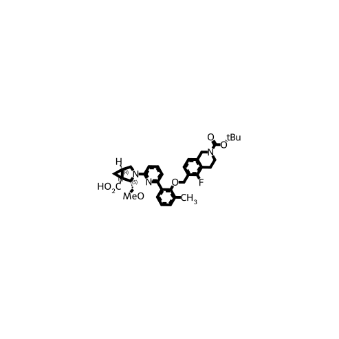 COC[C@H]1N(c2cccc(-c3cccc(C)c3OCc3ccc4c(c3F)CCN(C(=O)OC(C)(C)C)C4)n2)C[C@@H]2C[C@@]21C(=O)O